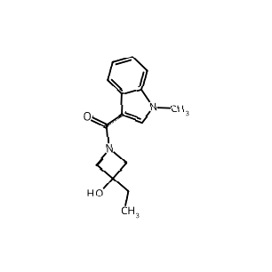 CCC1(O)CN(C(=O)c2cn(C)c3ccccc23)C1